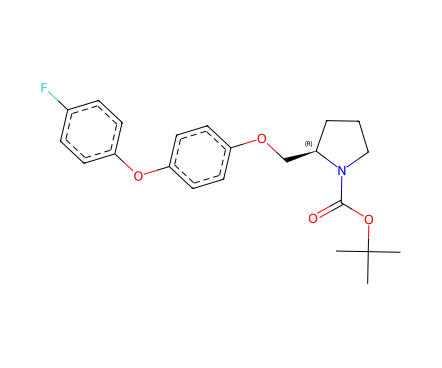 CC(C)(C)OC(=O)N1CCC[C@@H]1COc1ccc(Oc2ccc(F)cc2)cc1